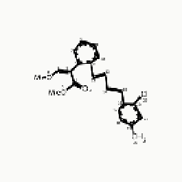 COC=C(C(=O)OC)c1ccccc1C=CC=Cc1ccc(C)cc1Cl